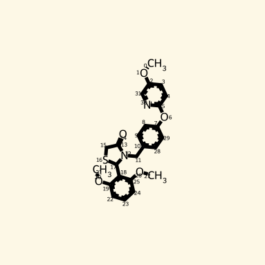 COc1ccc(Oc2ccc(CN3C(=O)CSC3c3c(OC)cccc3OC)cc2)nc1